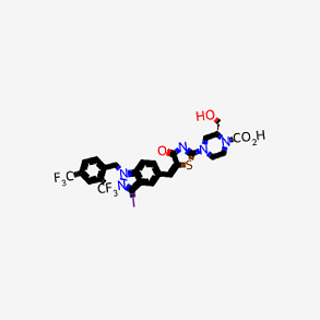 O=C1N=C(N2CCN(C(=O)O)[C@@H](CO)C2)S/C1=C/c1ccc2c(c1)c(I)nn2Cc1ccc(C(F)(F)F)cc1C(F)(F)F